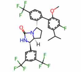 COc1cc(F)c(C(C)C)cc1-c1ccc(C(F)(F)F)cc1[C@@H]1CC[C@H]2[C@@H](c3cc(C(F)(F)F)cc(C(F)(F)F)c3)NC(=O)N12